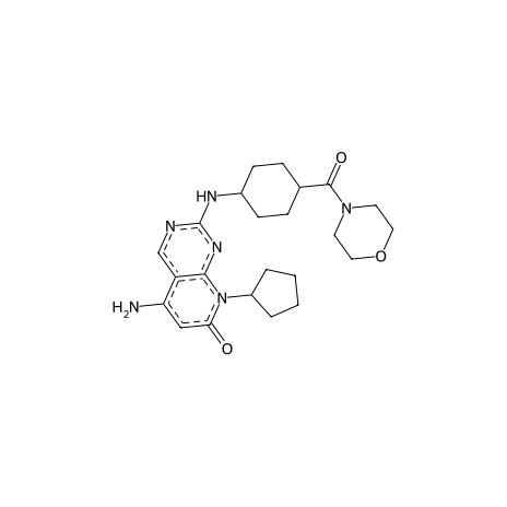 Nc1cc(=O)n(C2CCCC2)c2nc(NC3CCC(C(=O)N4CCOCC4)CC3)ncc12